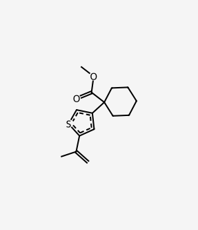 C=C(C)c1cc(C2(C(=O)OC)CCCCC2)cs1